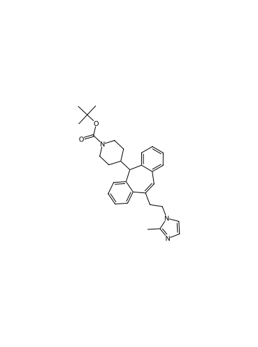 Cc1nccn1CCC1=Cc2ccccc2C(C2CCN(C(=O)OC(C)(C)C)CC2)c2ccccc21